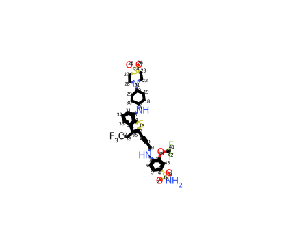 NS(=O)(=O)c1ccc(NCC#Cc2sc3c(NC4CCC(N5CCS(=O)(=O)CC5)CC4)cccc3c2CC(F)(F)F)c(OC(F)F)c1